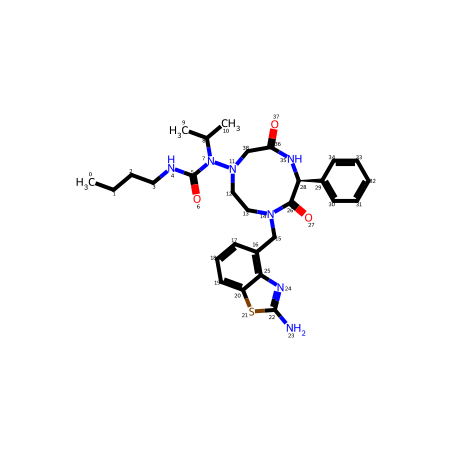 CCCCNC(=O)N(C(C)C)N1CCN(Cc2cccc3sc(N)nc23)C(=O)[C@H](c2ccccc2)NC(=O)C1